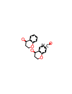 C=O.O=C1CCOc2ccccc21.O=C1CCOc2ccccc21